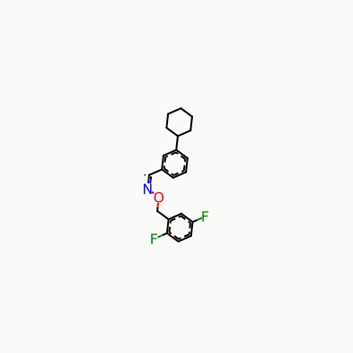 Fc1ccc(F)c(CO/N=[C]\c2cccc(C3CCCCC3)c2)c1